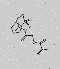 C=C(C)C(=O)OCC(=O)OC1C2CC3C1OS(=O)(=S)C3C2